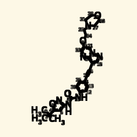 CC(C)(C)c1cc(NC(=O)Nc2ccc(C#Cc3cnn4cc(OCCN5CCOCC5)cnc34)cc2)no1